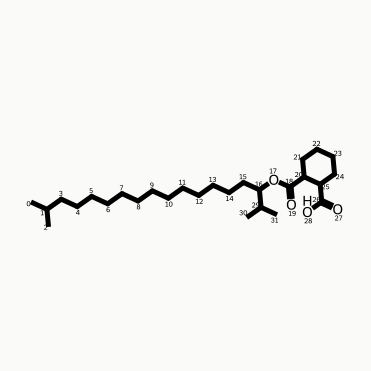 CC(C)CCCCCCCCCCCCCC(OC(=O)C1CCCCC1C(=O)O)C(C)C